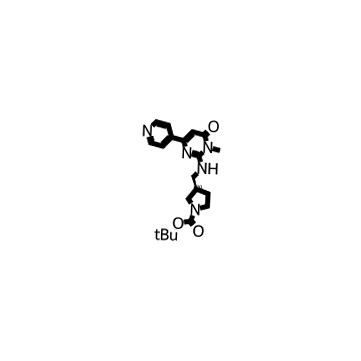 Cn1c(NC[C@H]2CCN(C(=O)OC(C)(C)C)C2)nc(-c2ccncc2)cc1=O